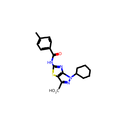 Cc1ccc(C(=O)Nc2nc3c(s2)c(C(=O)O)nn3C2CCCCC2)cc1